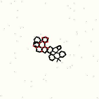 CC1(C)c2ccccc2C2(c3ccccc3-c3cc(N(c4ccccc4-c4ccccc4-c4ccccc4-c4ccccc4)c4cccc5sc6ccccc6c45)ccc32)c2ccccc21